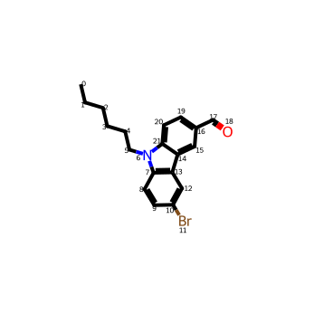 CCCCCCn1c2ccc(Br)cc2c2cc(C=O)ccc21